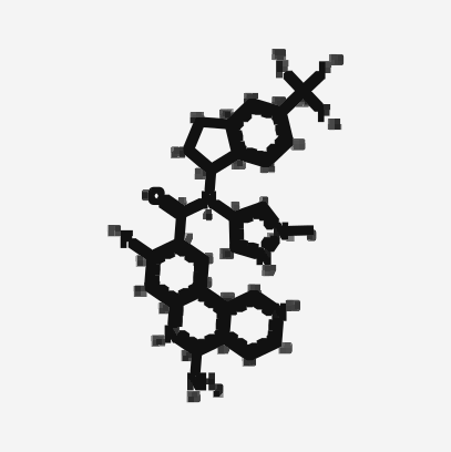 Cn1cc(N(C(=O)c2cc3c(cc2F)nc(N)c2ccncc23)C2CCc3cc(C(F)(F)F)ccc32)cn1